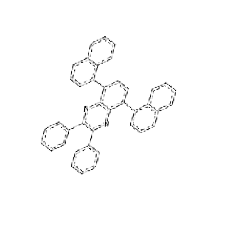 c1ccc(-c2nc3c(-c4cccc5ccccc45)ccc(-c4cccc5ccccc45)c3nc2-c2ccccc2)cc1